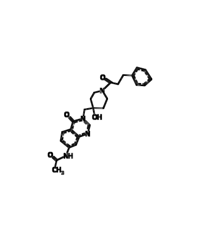 CC(=O)Nc1ccc2c(=O)n(CC3(O)CCN(C(=O)CCc4ccccc4)CC3)cnc2c1